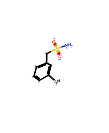 N#Cc1cccc(CS(N)(=O)=O)c1